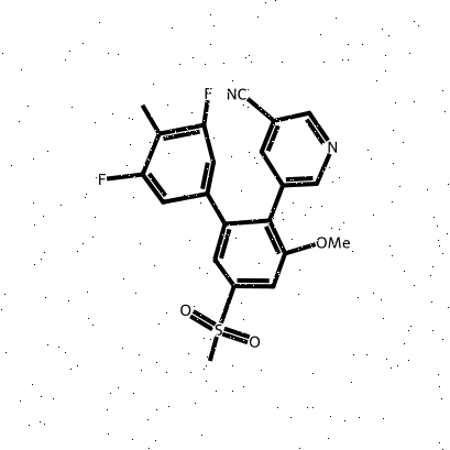 COc1cc(S(C)(=O)=O)cc(-c2cc(F)c(C)c(F)c2)c1-c1cncc(C#N)c1